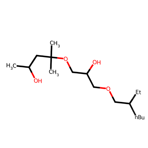 CCCCC(CC)COCC(O)COC(C)(C)CC(C)O